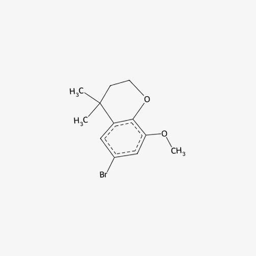 COc1cc(Br)cc2c1OCCC2(C)C